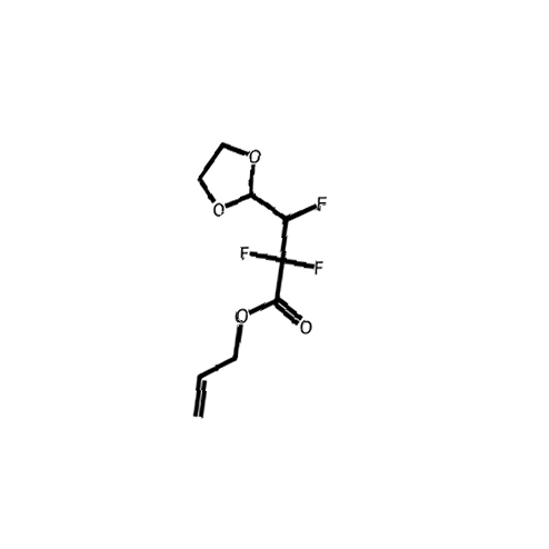 C=CCOC(=O)C(F)(F)C(F)C1OCCO1